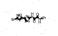 CC(C)NC(=O)C(=O)Nc1nc(-c2cc(Br)no2)cs1